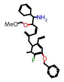 C=CC1=CC(OCc2ccccc2)=C(F)C(C)C1CC(=C)/C=C\C(OCOC)C(N)C1C=CC=CC1